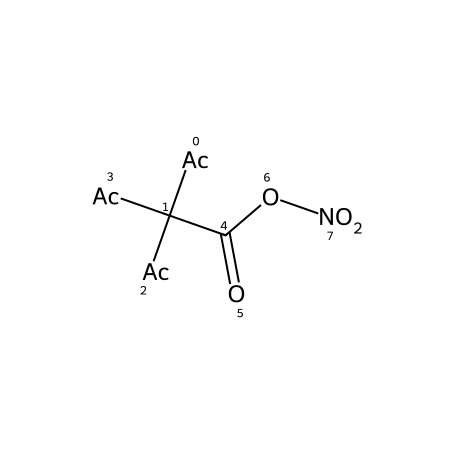 CC(=O)C(C(C)=O)(C(C)=O)C(=O)O[N+](=O)[O-]